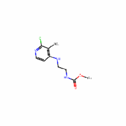 CC(C)(C)OC(=O)NCCNc1ccnc(Cl)c1[N+](=O)[O-]